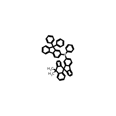 CC1(C)c2ccccc2C2(c3ccccc3-c3ccc(N(c4ccccc4)c4ccc5c(c4)C(c4ccccc4)(c4ccccc4)c4ccccc4-5)cc32)c2ccccc21